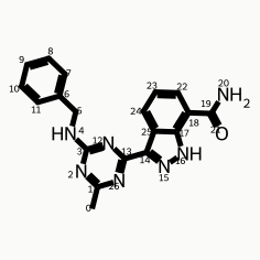 Cc1nc(NCc2ccccc2)nc(-c2n[nH]c3c(C(N)=O)cccc23)n1